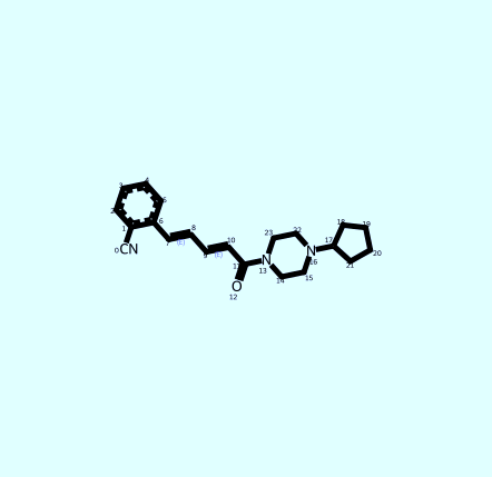 N#Cc1ccccc1/C=C/C=C/C(=O)N1CCN(C2CCCC2)CC1